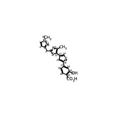 Cc1nc(Cc2ccn(C)n2)sc1-c1csc(-c2ccc(C(=O)O)c(O)c2)c1